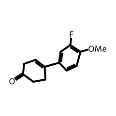 COc1ccc(C2=CCC(=O)CC2)cc1F